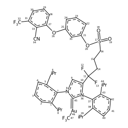 CC(C)c1cccc(C(C)C)c1-n1cc(C(F)(F)CCCS(=O)(=O)Oc2cccc(Oc3cccc(C(F)(F)F)c3C#N)c2)n(-c2c(C(C)C)cccc2C(C)C)[c]1=[Au][C](F)(F)F